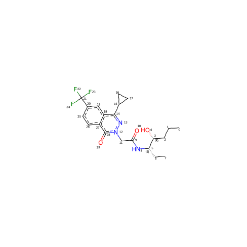 CCC[C@@H](O)[C@H](CC)NC(=O)Cn1nc(C2CC2)c2cc(C(F)(F)F)ccc2c1=O